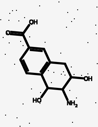 NC1C(O)Cc2cc(C(=O)O)ccc2C1O